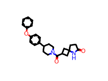 O=C1CCC2(CC(C(=O)N3CCC(c4ccc(Oc5ccccc5)cc4)CC3)C2)N1